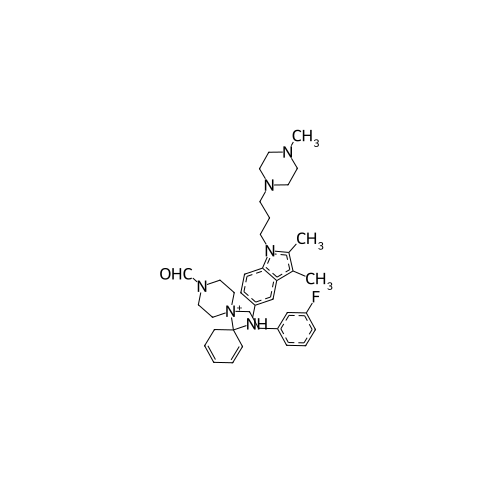 Cc1c(C)n(CCCN2CCN(C)CC2)c2ccc(NC3([N+]4(CCc5cccc(F)c5)CCN(C=O)CC4)C=CC=CC3)cc12